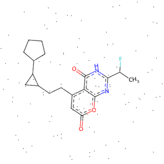 CC(F)c1nc2oc(=O)cc(CCC3CC3C3CCCC3)c2c(=O)[nH]1